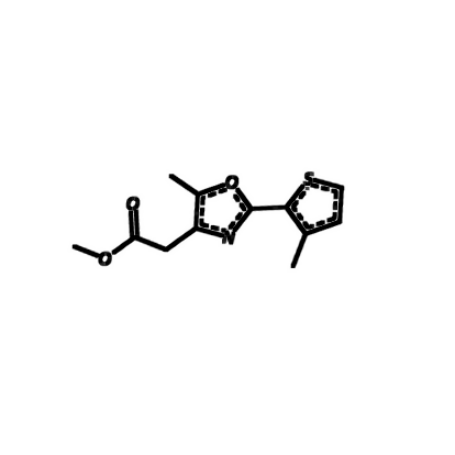 COC(=O)Cc1nc(-c2sccc2C)oc1C